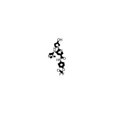 Cn1cncc1Nc1cc(C(=O)Nc2ccc(OC(F)(F)Cl)cc2)cnc1N1CCC(O)C1